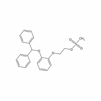 CS(=O)(=O)OCCOc1ccccc1OC(c1ccccc1)c1ccccc1